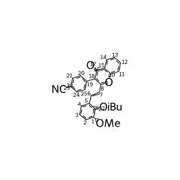 COc1cccc(C=Cc2oc3ccccc3c(=O)c2-c2ccc(C#N)cc2)c1OCC(C)C